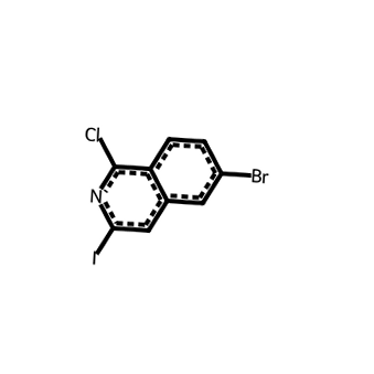 Clc1nc(I)cc2cc(Br)ccc12